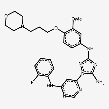 COc1cc(Nc2nc(N)n(-c3cc(Nc4ccccc4F)ncn3)n2)ccc1OCCCN1CCOCC1